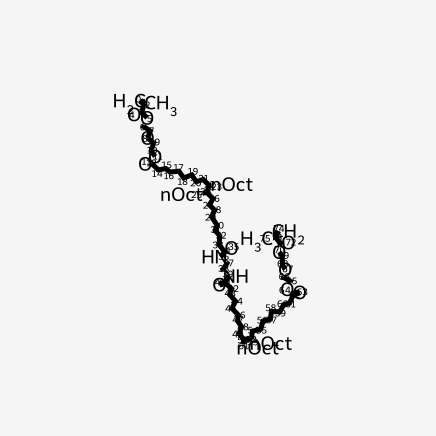 C=C(C)C(=O)OCCOCCOC(=O)CCCCCCCCC(CCCCCCCC)C(CCCCCCCC)CCCCCCCCC(=O)NCCNC(=O)CCCCCCCCC(CCCCCCCC)C(CCCCCCCC)CCCCCCCCC(=O)OCCOCCOC(=O)C(=C)C